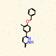 C=C1C=CC(c2ccc(OCc3ccccc3)c(C)c2)=NN1